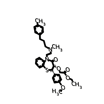 CCOC(=O)CO[C@H]1C(=O)N(CCN(C)CCCc2ccc(C)cc2)c2ccccc2S[C@H]1c1ccc(OC)cc1